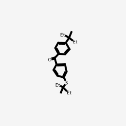 CCC(C)(CC)Sc1ccc(C(=O)c2ccc(C(C)(CC)CC)cc2)cc1